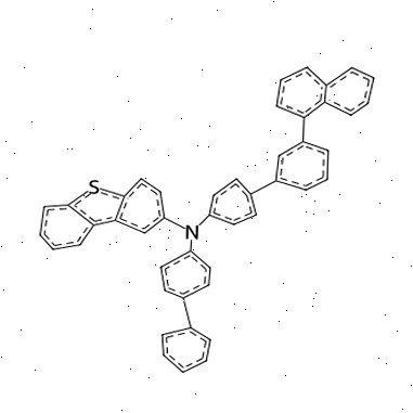 c1ccc(-c2ccc(N(c3ccc(-c4cccc(-c5cccc6ccccc56)c4)cc3)c3ccc4sc5ccccc5c4c3)cc2)cc1